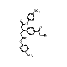 O=C(CC(CC(=O)Oc1ccc([N+](=O)[O-])cc1)c1ccc(C(=O)CBr)cc1)Oc1ccc([N+](=O)[O-])cc1